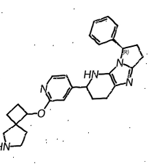 c1ccc([C@H]2CCc3nc4c(n32)NC(c2ccnc(OC3CCC35CCNC5)c2)CC4)cc1